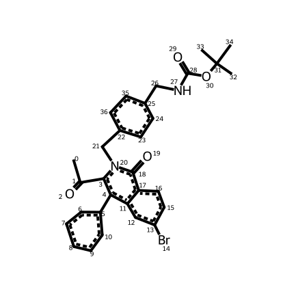 CC(=O)c1c(-c2ccccc2)c2cc(Br)ccc2c(=O)n1Cc1ccc(CNC(=O)OC(C)(C)C)cc1